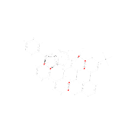 CC(C)(C)c1cc(-c2cccc3cccc(-c4ccccc4N(c4ccc(-c5ccccc5)cc4)c4ccccc4-c4cccc5sc6ccccc6c45)c23)cc(C(C)(C)C)c1